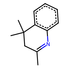 CC1=Nc2ccccc2C(C)(C)C1